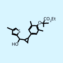 CCOC(=O)C(C)(C)Oc1c(C)cc(C2CC2C(O)c2cc(C)cs2)cc1C